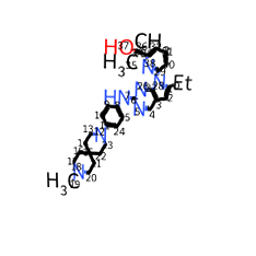 CCc1cc2cnc(Nc3ccc(N4CCC5(CCN(C)CC5)CC4)cc3)nc2n1-c1cccc(C(C)(C)O)n1